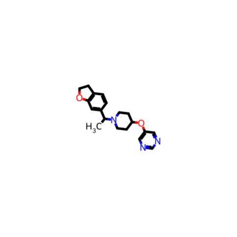 CC(c1ccc2c(c1)OCC2)N1CCC(Oc2cncnc2)CC1